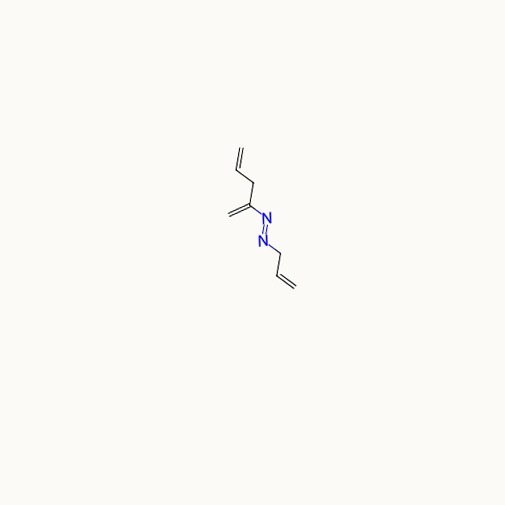 C=CCN=NC(=C)CC=C